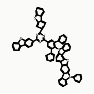 c1ccc(-c2cc(-c3nc(-c4ccc5c(c4)sc4ccccc45)nc(-c4ccc5c(c4)sc4ccccc45)n3)cc(-c3ccccc3)c2-n2c3ccccc3c3c4oc5cc6c(cc5c4ccc32)c2ccccc2n6-c2ccccc2)cc1